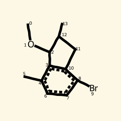 COC1c2c(C)ccc(Br)c2CC1C